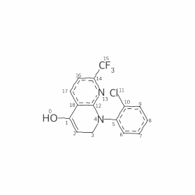 OC1=CCN(c2ccccc2Cl)c2nc(C(F)(F)F)ccc21